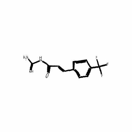 N=C(N)NC(=O)C=Cc1ccc(C(F)(F)F)cc1